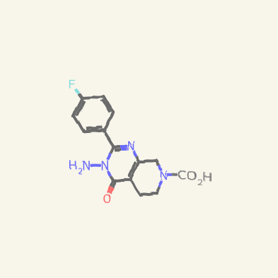 Nn1c(-c2ccc(F)cc2)nc2c(c1=O)CCN(C(=O)O)C2